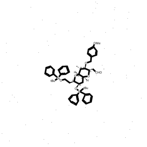 COc1ccc(CO[C@@H]2[C@@H](C)[C@@H]3O[C@H](CCO[Si](c4ccccc4)(c4ccccc4)C(C)(C)C)[C@H](O[Si](c4ccccc4)(c4ccccc4)C(C)(C)C)C[C@@H]3O[C@H]2CC=O)cc1